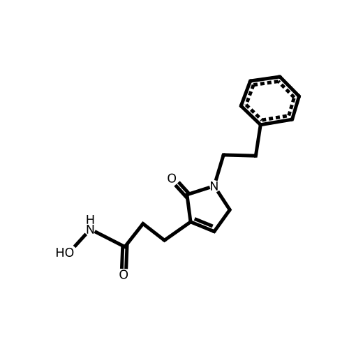 O=C(CCC1=CCN(CCc2ccccc2)C1=O)NO